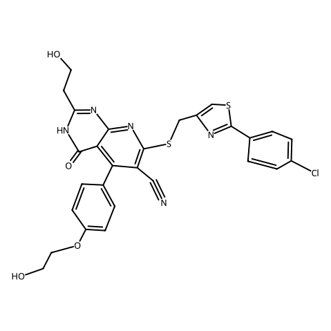 N#Cc1c(SCc2csc(-c3ccc(Cl)cc3)n2)nc2nc(CCO)[nH]c(=O)c2c1-c1ccc(OCCO)cc1